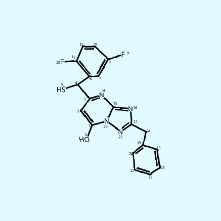 Oc1cc(C(S)c2cc(F)ccc2F)nc2nc(Cc3ccccc3)nn12